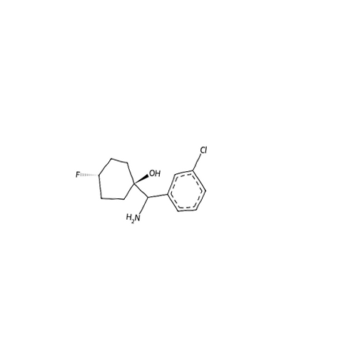 NC(c1cccc(Cl)c1)[C@]1(O)CC[C@H](F)CC1